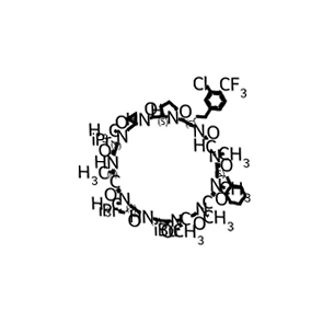 CCC(C)[C@@H]1NC(=O)[C@H](CC(C)C)N(C)C(=O)C[C@@H](C)NC(=O)[C@H](C(C)C)N(C)C(=O)C2(CC2)NC(=O)[C@@H]2CCCN2C(=O)[C@H](CCc2ccc(C(F)(F)F)c(Cl)c2)NC(=O)CN(C)C(=O)[C@H](CC2CCCCC2)N(C)C(=O)CN(C)C(=O)CN(C)C1=O